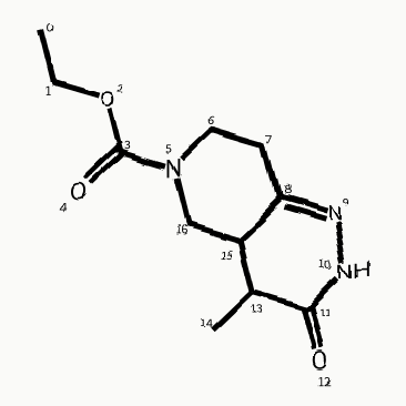 CCOC(=O)N1CCC2=NNC(=O)C(C)C2C1